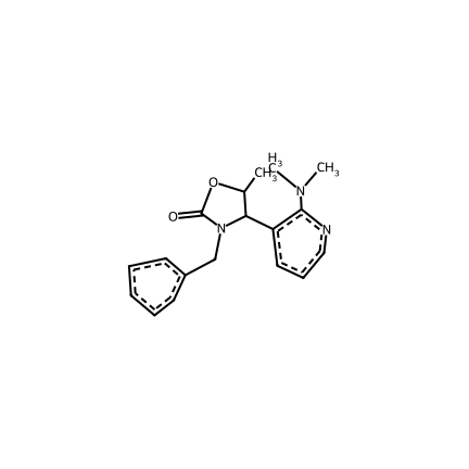 CC1OC(=O)N(Cc2ccccc2)C1c1cccnc1N(C)C